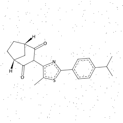 Cc1sc(-c2ccc(C(C)C)cc2)nc1C1C(=O)[C@@H]2CC[C@@H](C2)C1=O